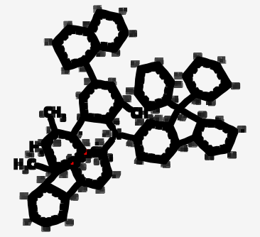 Cc1cccc(C)c1-c1cc(-c2cccc3ccccc23)cc(C)c1N(c1ccc2c(c1)C(C)(C)c1ccccc1-2)c1ccc2c(c1)C(c1ccccc1)(c1ccccc1)c1ccccc1-2